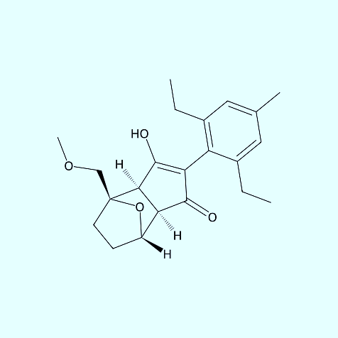 CCc1cc(C)cc(CC)c1C1=C(O)[C@H]2[C@@H](C1=O)[C@@H]1CC[C@@]2(COC)O1